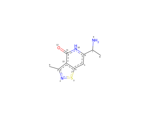 Cc1nsc2cc(C(C)N)[nH]c(=O)c12